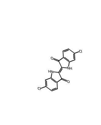 O=C1/C(=C2\Nc3cc(Cl)ccc3C2=O)Nc2cc(Cl)ccc21